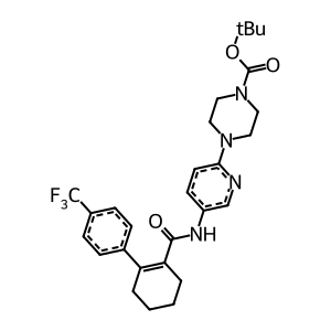 CC(C)(C)OC(=O)N1CCN(c2ccc(NC(=O)C3=C(c4ccc(C(F)(F)F)cc4)CCCC3)cn2)CC1